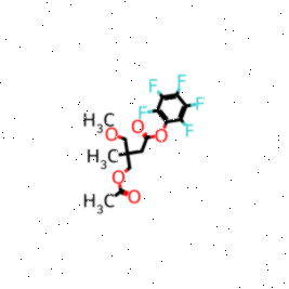 COCC(C)(COC(C)=O)CC(=O)Oc1c(F)c(F)c(F)c(F)c1F